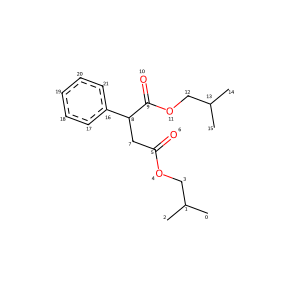 CC(C)COC(=O)CC(C(=O)OCC(C)C)c1ccccc1